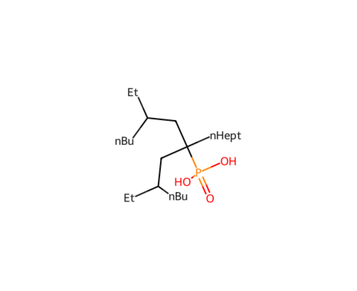 CCCCCCCC(CC(CC)CCCC)(CC(CC)CCCC)P(=O)(O)O